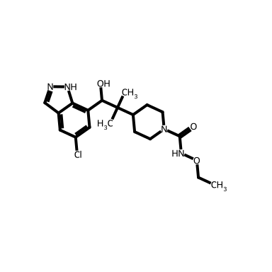 CCONC(=O)N1CCC(C(C)(C)C(O)c2cc(Cl)cc3cn[nH]c23)CC1